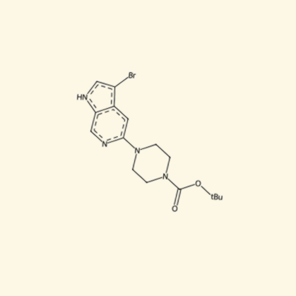 CC(C)(C)OC(=O)N1CCN(c2cc3c(Br)c[nH]c3cn2)CC1